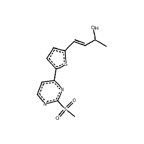 CC(O)C=Cc1ccc(-c2ccnc(S(C)(=O)=O)n2)s1